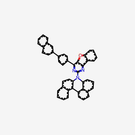 c1ccc2cc(-c3ccc(-c4nc(N5c6ccc7ccccc7c6-c6cccc7cccc5c67)nc5c4oc4ccccc45)cc3)ccc2c1